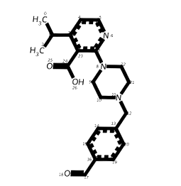 CC(C)c1ccnc(N2CCN(Cc3ccc(C=O)cc3)CC2)c1C(=O)O